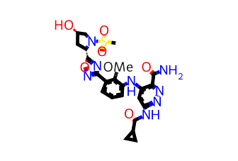 COc1c(Nc2cc(NC(=O)C3CC3)nnc2C(N)=O)cccc1-c1noc([C@@H]2C[C@@H](O)CN2S(C)(=O)=O)n1